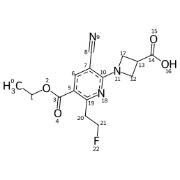 CCOC(=O)c1cc(C#N)c(N2CC(C(=O)O)C2)nc1CCF